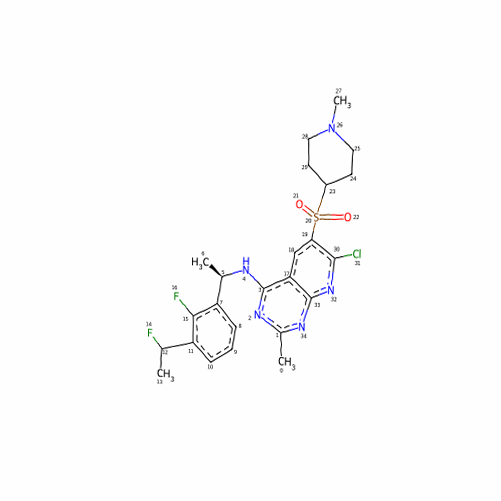 Cc1nc(N[C@H](C)c2cccc(C(C)F)c2F)c2cc(S(=O)(=O)C3CCN(C)CC3)c(Cl)nc2n1